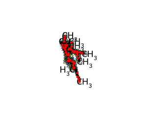 CCCCCCCCCCCCc1cc(-c2c(F)c(F)c3nc4c(F)c(-c5cc(CCCCCCCCCCCC)c(-c6cc7c(-c8cc(CC(CCCCCC)CCCCCCCC)cs8)c8sc(C)cc8c(-c8cc(CC(CCCCCC)CCCCCCCC)cs8)c7s6)s5)c(F)c(F)c4nc3c2F)sc1C